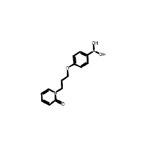 O=c1ccccn1CCCOc1ccc(B(O)O)cc1